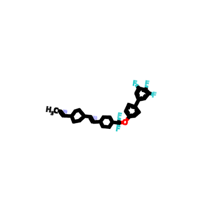 C/C=C/C1CCC(/C=C/C2CCC(C(F)(F)Oc3ccc(-c4cc(F)c(F)c(F)c4)cc3)CC2)CC1